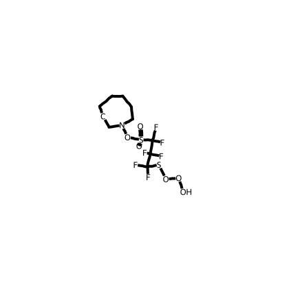 O=S(=O)(ON1CCCCCCC1)C(F)(F)C(F)(F)C(F)(F)SOOO